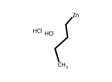 CCC[CH2][Zn].Cl.Cl